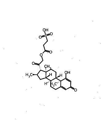 C[C@@H]1C[C@H]2[C@@H]3CCC4=CC(=O)C=C(O)[C@]4(C)[C@H]3CC[C@]2(C)[C@H]1C(=O)COC(=O)CCS(=O)(=O)O